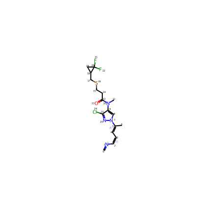 C=N/C=C\C=C(/C)n1cc(N(C)C(=O)CCSCC2CC2(F)F)c(Cl)n1